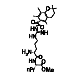 CCC[C@H](NC(=O)[C@H](N)CCCNC(=N)NS(=O)(=O)c1c(C)c(C)c2c(c1C)CCC(C)(C)O2)C(=O)OC